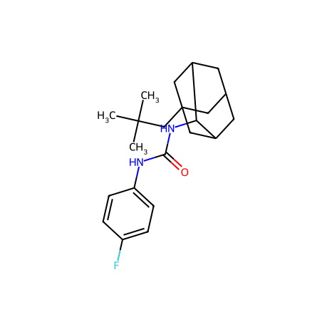 CC(C)(C)CC12CC3CC(C1)C(NC(=O)Nc1ccc(F)cc1)C(C3)C2